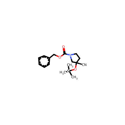 C[Si](C)(C)OC1(C#N)CCN(C(=O)OCc2ccccc2)C1